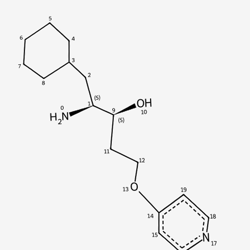 N[C@@H](CC1CCCCC1)[C@@H](O)CCOc1ccncc1